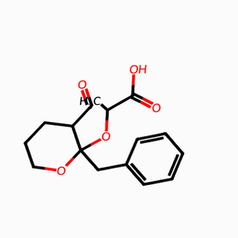 CC(OC1(Cc2ccccc2)OCCCC1C=O)C(=O)O